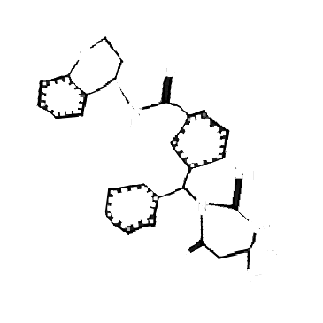 CC(C)[C@]1(C)CC(=O)N(C(c2ccccc2)c2cccc(C(=O)N[C@@H]3CCOc4ccccc43)c2)C(=N)N1